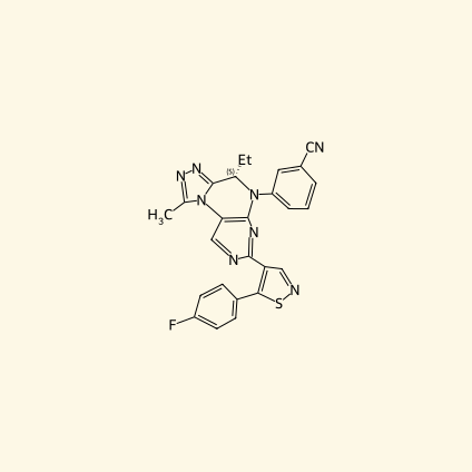 CC[C@H]1c2nnc(C)n2-c2cnc(-c3cnsc3-c3ccc(F)cc3)nc2N1c1cccc(C#N)c1